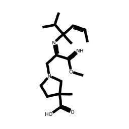 C/C=C\C(C)(/N=C(/CN1CCC(C)(C(=O)O)C1)C(=N)OC)C(C)C